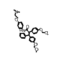 COCOc1ccc(/C(C(=O)Nc2ccc(OCCN(C)C)cc2)=C(/c2ccccc2)c2ccc(OCOC)cc2)cc1